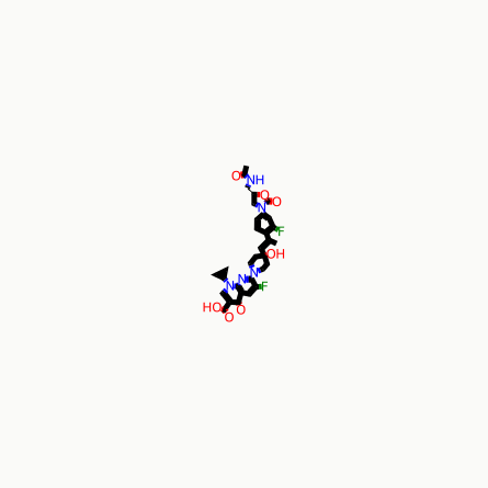 CC(=O)NC[C@H]1CN(c2ccc(/C(C)=C/C3(O)CCN(c4nc5c(cc4F)c(=O)c(C(=O)O)cn5C4CC4)CC3)c(F)c2)C(=O)O1